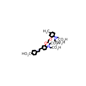 Cc1ccc(N(CC(=O)O)CC(=O)O)c(OCCOc2cc(/C=C/c3ccc(C(=O)O)cc3)ccc2N(CC(=O)O)CC(=O)O)c1